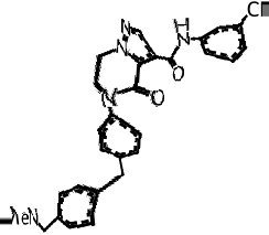 CNCc1ccc(Cc2ccc(N3CCn4ncc(C(=O)Nc5cccc(C#N)c5)c4C3=O)cc2)cc1